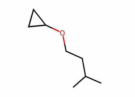 CC(C)CCOC1CC1